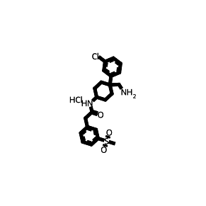 CS(=O)(=O)c1cccc(CC(=O)NC2CCC(CN)(c3cccc(Cl)c3)CC2)c1.Cl